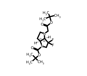 CC(C)(C)OC(=O)CN1CC[C@H]2[C@@H]1C(F)(F)CN2C(=O)OC(C)(C)C